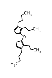 CCCCC1=CC[C]([Zr][C]2=C(CCC)C(CCCC)=CC2)=C1CCC